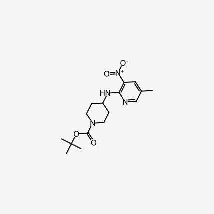 Cc1cnc(NC2CCN(C(=O)OC(C)(C)C)CC2)c([N+](=O)[O-])c1